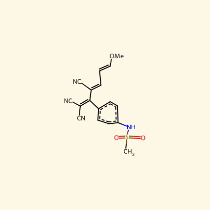 COC=CC=C(C#N)C(=C(C#N)C#N)c1ccc(NS(C)(=O)=O)cc1